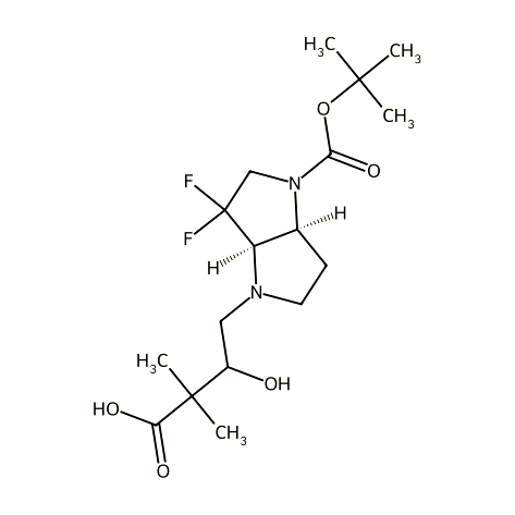 CC(C)(C)OC(=O)N1CC(F)(F)[C@H]2[C@@H]1CCN2CC(O)C(C)(C)C(=O)O